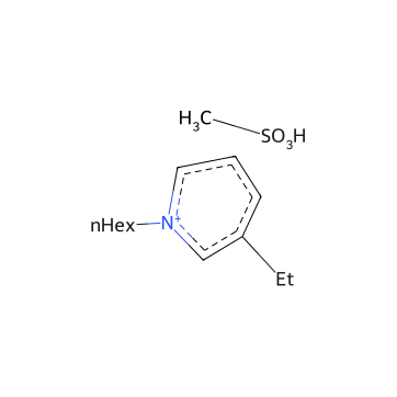 CCCCCC[n+]1cccc(CC)c1.CS(=O)(=O)O